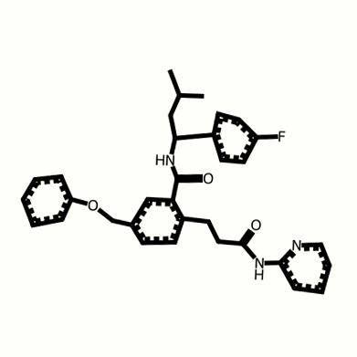 CC(C)CC(NC(=O)c1cc(COc2ccccc2)ccc1CCC(=O)Nc1ccccn1)c1ccc(F)cc1